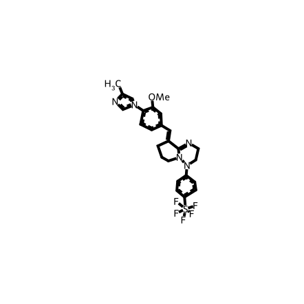 COc1cc(/C=C2\CCCN3C2=NCCN3c2ccc(S(F)(F)(F)(F)F)cc2)ccc1-n1cnc(C)c1